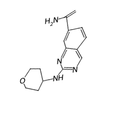 C=C(N)c1ccc2cnc(NC3CCOCC3)nc2c1